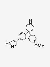 COc1ccc(C2(c3ccc(-c4cn[nH]c4)cc3)CCNCC2)cc1